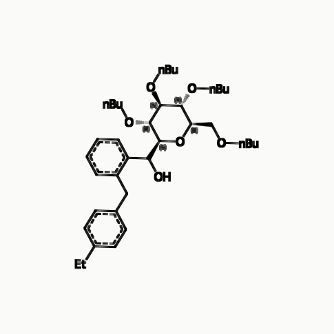 CCCCOC[C@H]1O[C@@H](C(O)c2ccccc2Cc2ccc(CC)cc2)[C@H](OCCCC)[C@@H](OCCCC)[C@@H]1OCCCC